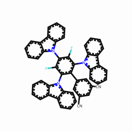 N#Cc1cc(C#N)cc(-c2c(-n3c4ccccc4c4ccccc43)c(F)c(-n3c4ccccc4c4ccccc43)c(F)c2-n2c3ccccc3c3ccccc32)c1